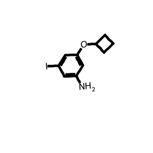 Nc1cc(I)cc(OC2CCC2)c1